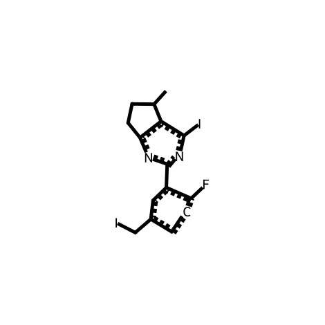 CC1CCc2nc(-c3cc(CI)ccc3F)nc(I)c21